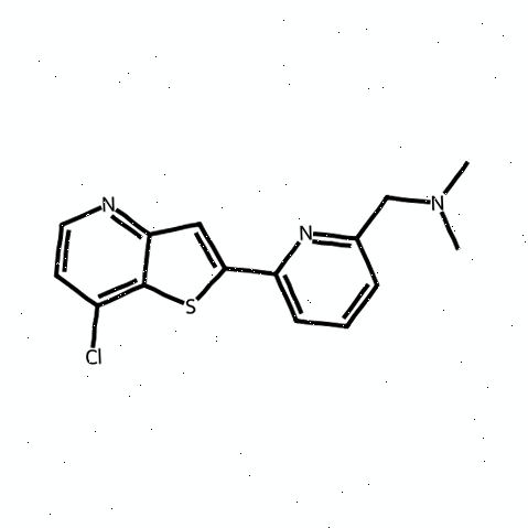 CN(C)Cc1cccc(-c2cc3nccc(Cl)c3s2)n1